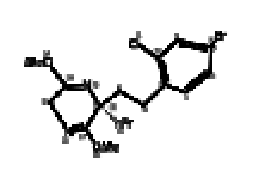 CCC[C@@]1(CCc2ccc(Br)cc2Cl)N=C(OC)CN=C1OC